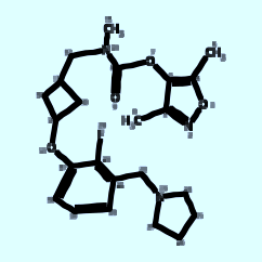 Cc1noc(C)c1OC(=O)N(C)CC1CC(Oc2cccc(CN3CCCC3)c2F)C1